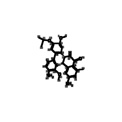 COc1cc([C@H]2Cc3nc(N)nc(C)c3C(=O)N2)c(-c2ncc(N)c(OC)n2)cc1OC(C)C